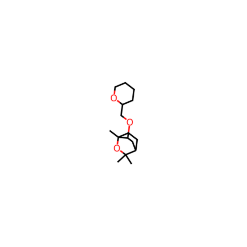 CC1(C)OC2(C)CCC1CC2OCC1CCCCO1